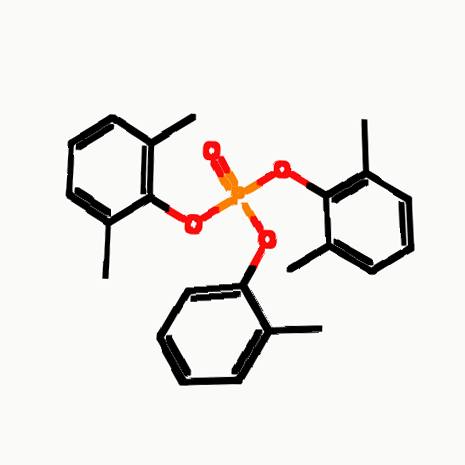 Cc1ccccc1OP(=O)(Oc1c(C)cccc1C)Oc1c(C)cccc1C